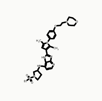 CCS(=O)(=O)N1CCC(Nc2ccnc3nc(-c4cc(C)n(-c5ccc(OCCN6CCOCC6)cc5)c4C)[nH]c23)C1